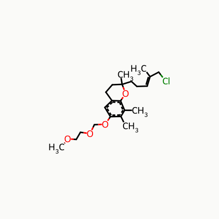 COCCOCOc1cc2c(c(C)c1C)OC(C)(CC/C=C(\C)CCl)CC2